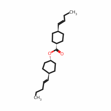 CCC=C[C@H]1CC[C@H](C(=O)O[C@H]2CC[C@H](C=CCCC)CC2)CC1